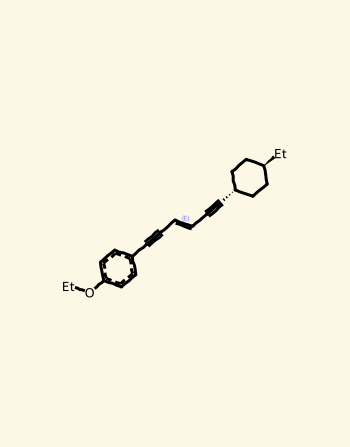 CCOc1ccc(C#C/C=C/C#C[C@H]2CC[C@H](CC)CC2)cc1